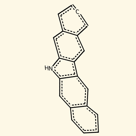 c1ccc2cc3c(cc2c1)[nH]c1cc2ccccc2cc13